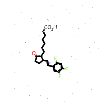 O=C(O)CCCCCCC1C(=O)CCC1/C=C/c1cc(F)c(F)cc1F